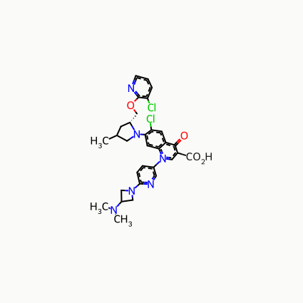 CC1C[C@H](COc2ncccc2Cl)N(c2cc3c(cc2Cl)c(=O)c(C(=O)O)cn3-c2ccc(N3CC(N(C)C)C3)nc2)C1